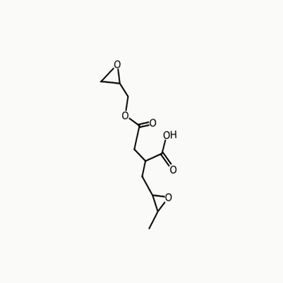 CC1OC1CC(CC(=O)OCC1CO1)C(=O)O